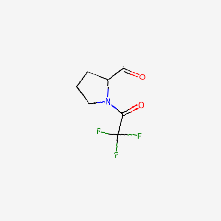 O=[C]C1CCCN1C(=O)C(F)(F)F